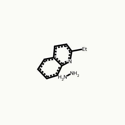 CCc1ccc2ccccc2n1.NN